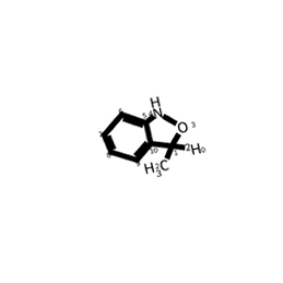 [2H]C1(C)ONc2ccccc21